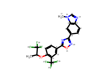 CC(Oc1ccc(-c2nc(-c3ccc4ncn(C)c4c3)no2)cc1C(F)(F)F)C(F)(F)F